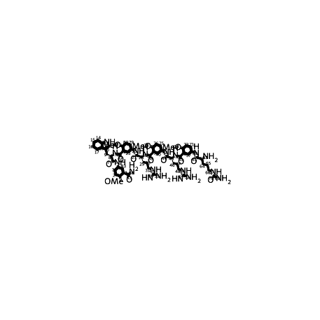 COc1ccc(NC(=O)[C@@H](Cc2c[nH]c3ccccc23)NC(=O)c2cc(NC(=O)[C@@H](CCCNC(=N)N)NC(=O)c3cc(NC(=O)[C@@H](CCCNC(=N)N)NC(=O)c4cc(NC(=O)[C@H](N)CCCNC(N)=O)ccc4OC)ccc3OC)ccc2OC)cc1C(N)=O